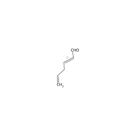 C=CC/[C]=C/C=O